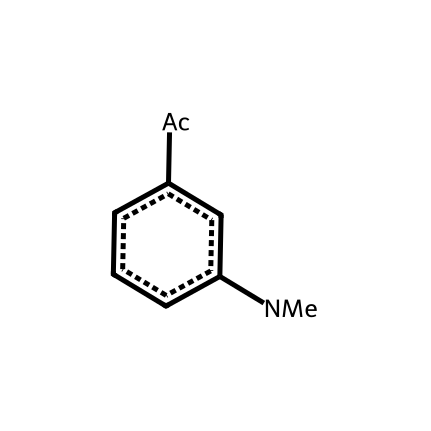 CNc1cccc(C(C)=O)c1